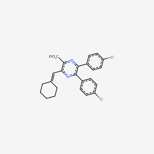 CCOC(=O)c1nc(-c2ccc(Cl)cc2)c(-c2ccc(Cl)cc2)nc1C=C1CCCCC1